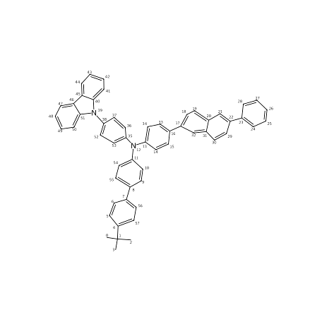 CC(C)(C)c1ccc(-c2ccc(N(c3ccc(-c4ccc5cc(-c6ccccc6)ccc5c4)cc3)c3ccc(-n4c5ccccc5c5ccccc54)cc3)cc2)cc1